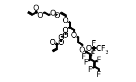 C=CC(=O)OCCOO/C=C\OCC(COCCCOC(F)(OC(F)(F)C(F)(F)F)/C(F)=C(F)/C(F)=C(\F)CF)OOOOC(=O)C=C